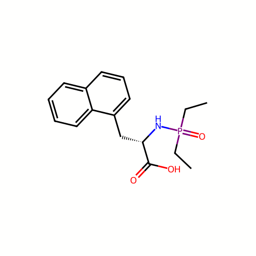 CCP(=O)(CC)N[C@@H](Cc1cccc2ccccc12)C(=O)O